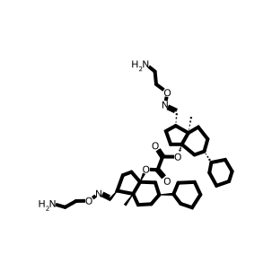 C[C@]12CC[C@H](C3CCCCC3)C[C@@]1(OC(=O)C(=O)O[C@]13CC[C@H](C=NOCCN)[C@@]1(C)CC[C@H](C1CCCCC1)C3)CC[C@@H]2C=NOCCN